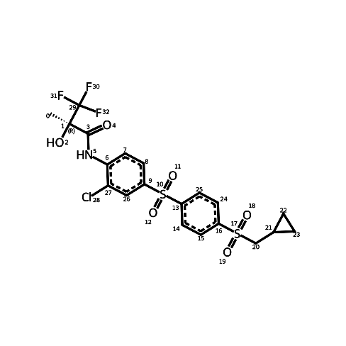 C[C@@](O)(C(=O)Nc1ccc(S(=O)(=O)c2ccc(S(=O)(=O)CC3CC3)cc2)cc1Cl)C(F)(F)F